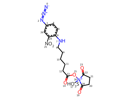 [N-]=[N+]=Nc1ccc(NCCCCCC(=O)O[N+]2(S(=O)(=O)O)C(=O)CCC2=O)c([N+](=O)[O-])c1